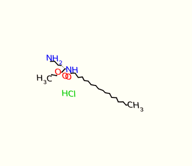 CCCCCCCCCCCCCCCCCC(=O)N[C@@H](CCCCN)C(=O)OCCC.Cl